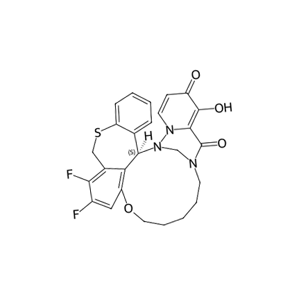 O=C1c2c(O)c(=O)ccn2N2CN1CCCCCOc1cc(F)c(F)c3c1[C@H]2c1ccccc1SC3